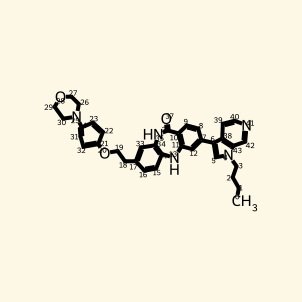 CCCCn1cc(-c2ccc3c(c2)Nc2ccc(CCOc4ccc(N5CCOCC5)cc4)cc2NC3=O)c2ccncc21